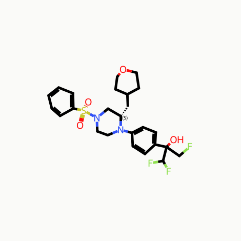 O=S(=O)(c1ccccc1)N1CCN(c2ccc(C(O)(CF)C(F)F)cc2)[C@@H](CC2CCOCC2)C1